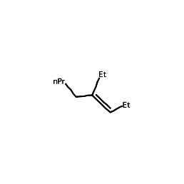 [CH2]C/C=C(\CC)CCCC